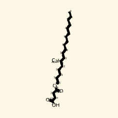 CCCCCCCCCCCCCCCCCCOC(=O)CCC(=O)O.[CaH2]